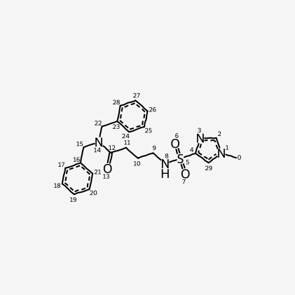 Cn1cnc(S(=O)(=O)NCCCC(=O)N(Cc2ccccc2)Cc2ccccc2)c1